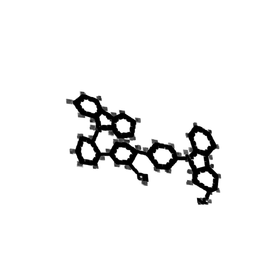 N#Cc1ccc2c3ccccc3n(-c3ccc(-c4ccc(-c5ccccc5-n5c6ccccc6c6ccccc65)cc4C#N)cc3)c2c1